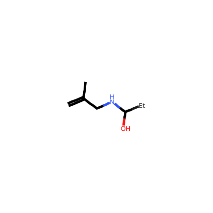 C=C(C)CNC(O)CC